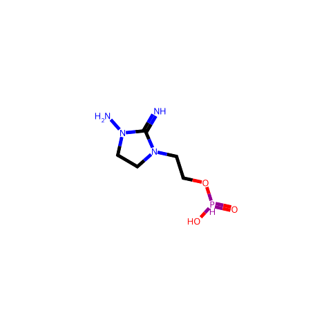 N=C1N(N)CCN1CCO[PH](=O)O